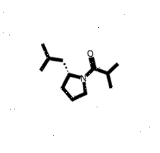 CC(C)C[C@H]1CCCN1C(=O)C(C)C